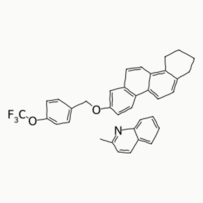 Cc1ccc2ccccc2n1.FC(F)(F)Oc1ccc(COc2ccc3c(ccc4c5c(ccc43)CCCC5)c2)cc1